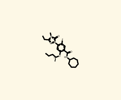 CCC[C@H](C)Oc1cc(-n2nc(CC)n(C)c2=O)c(F)cc1C(=O)NC1CCCCCC1